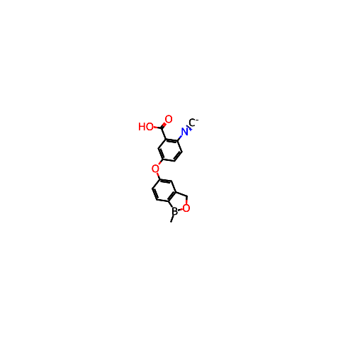 [C-]#[N+]c1ccc(Oc2ccc3c(c2)COB3C)cc1C(=O)O